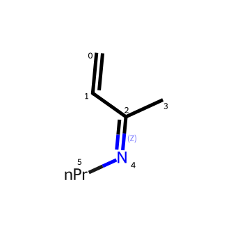 C=C/C(C)=N\CCC